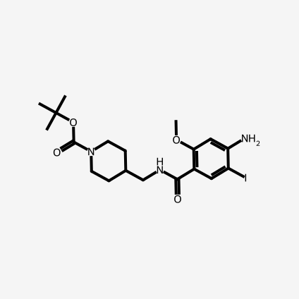 COc1cc(N)c(I)cc1C(=O)NCC1CCN(C(=O)OC(C)(C)C)CC1